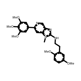 COc1ccc(OC)c(CCNc2nc3cnc(-c4cc(OC)c(OC)c(OC)c4)cc3n2C)c1